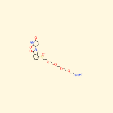 [N-]=[N+]=NCCOCCOCCOCCOCC[S+]([O-])c1cccc2c1CN(C1CCC(=O)NC1=O)C2=O